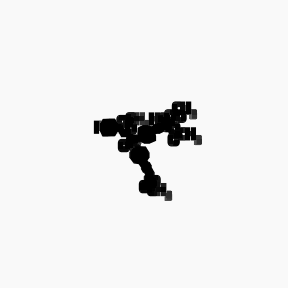 CC(=O)OCC(O)(C#Cc1ccc([C@@H]2[C@@H](CC[C@H](OC(C)=O)c3ccc(F)cc3)C(=O)N2c2ccc(C#CCCS(C)(=O)=O)cc2)cc1)COC(C)=O